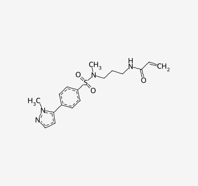 C=CC(=O)NCCCN(C)S(=O)(=O)c1ccc(-c2ccnn2C)cc1